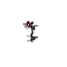 CCNC(=O)c1nnc(-c2cc(C(C)C)c(O)cc2O)n1-c1ccc(N(C)C2CCN(C(=O)CSCC(=O)O[C@@H](C(=O)O[C@H]3C[C@@]4(O)[C@@H](OC(=O)c5ccccc5)[C@@H]5[C@]6(OC(C)=O)CO[C@@H]6C[C@H](O)[C@@]5(C)C(=O)[C@H](O)C(=C3C)C4(C)C)[C@@H](NC(=O)OC(C)(C)C)c3ccccc3)CC2)nc1